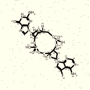 Nc1nc2c(ncn2[C@@H]2O[C@@H]3COP(=O)(S)O[C@H]4C[C@H](n5cc(F)c6c(N)ncnc65)O[C@@H]4COP(=O)(O)O[C@@H]2[C@@H]3F)c(=O)[nH]1